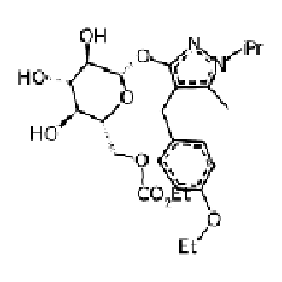 CCOC(=O)OC[C@H]1O[C@@H](Oc2nn(C(C)C)c(C)c2Cc2ccc(OCC)cc2)[C@H](O)[C@@H](O)[C@@H]1O